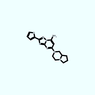 Nc1cc(N2CCN3CCCC3C2)nc2nc(-c3ccco3)nn12